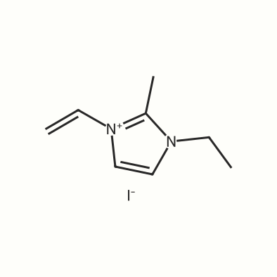 C=C[n+]1ccn(CC)c1C.[I-]